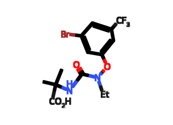 CCN(Oc1cc(Br)cc(C(F)(F)F)c1)C(=O)NC(C)(C)C(=O)O